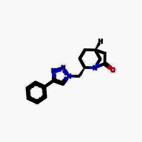 O=C1C[C@@H]2CC[C@@H](Cn3cc(-c4ccccc4)nn3)N1C2